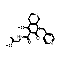 O=C(O)CNC(=O)c1c(O)c2c(n(Cc3ccncc3)c1=O)COCC2